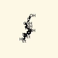 CCNCc1cncc(-c2ccc3[nH]nc(-c4ncc(C(=O)NCCOCCO)[nH]4)c3c2)c1CC